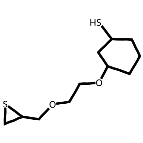 SC1CCCC(OCCOCC2CS2)C1